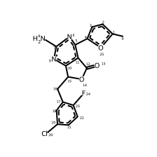 Cc1ccc(-c2nc(N)nc3c2C(=O)OC3Cc2cc(Cl)ccc2F)o1